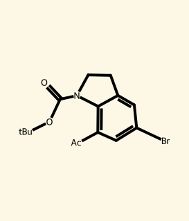 CC(=O)c1cc(Br)cc2c1N(C(=O)OC(C)(C)C)CC2